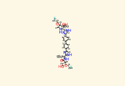 C=C(N[C@H](c1nc(-c2ccc(-c3ccc(-c4c[nH]c([C@@H](NC(=O)C(C)(CO)OCCF)C(C)(C)C)n4)cc3)cc2)c[nH]1)C(C)(C)C)C(C)(CO)OCCF